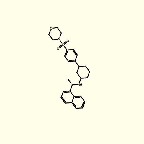 C[C@@H](NC1CCCC(c2ccc(S(=O)(=O)N3CCOCC3)cc2)C1)c1cccc2ccccc12